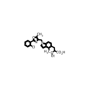 CCOC(Cc1ccc2c(ccn2Cc2nc(-c3ccccc3Cl)oc2C)c1C)C(=O)O